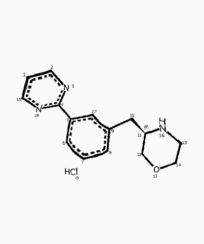 Cl.c1cnc(-c2cccc(C[C@@H]3COCCN3)c2)nc1